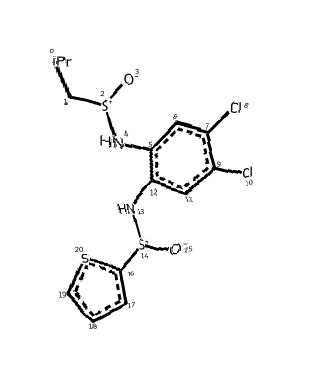 CC(C)C[S+]([O-])Nc1cc(Cl)c(Cl)cc1N[S+]([O-])c1cccs1